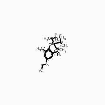 Cc1cc(SCCl)cc(C)c1O[Si](C(C)C)(C(C)C)C(C)C